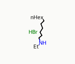 Br.CCCCCCCCCCCCNCC